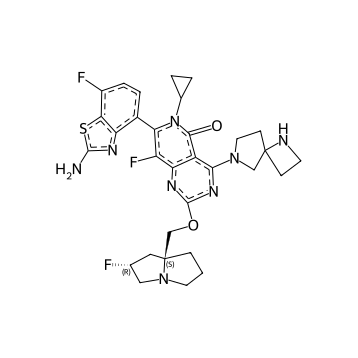 Nc1nc2c(-c3c(F)c4nc(OC[C@@]56CCCN5C[C@H](F)C6)nc(N5CCC6(CCN6)C5)c4c(=O)n3C3CC3)ccc(F)c2s1